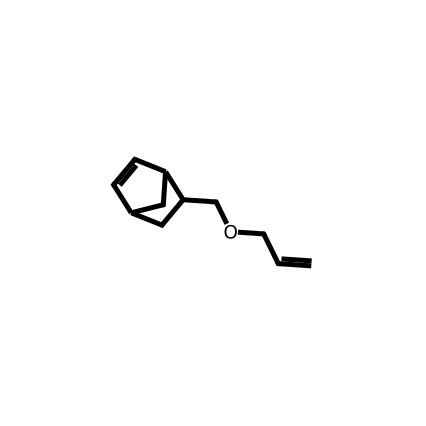 C=CCOCC1CC2C=CC1C2